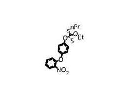 CCCSP(=S)(OCC)Oc1ccc(Oc2ccccc2[N+](=O)[O-])cc1